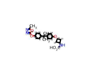 Cc1nnc(Oc2ccc(C(C)(C)c3ccc(O[C@H]4C[C@H](NC(=O)O)C4)cc3)cc2)o1